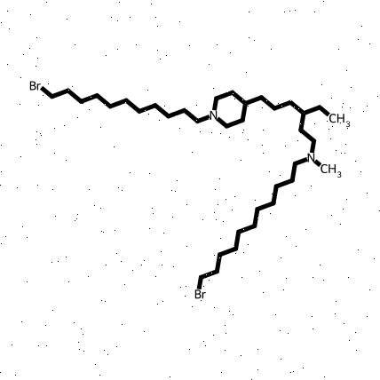 CCC(CCCC1CCN(CCCCCCCCCCCBr)CC1)CCN(C)CCCCCCCCCCCBr